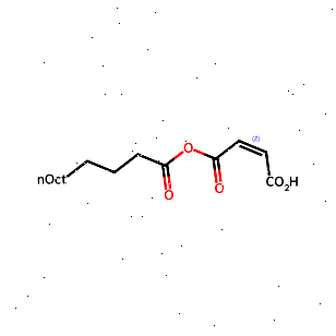 CCCCCCCCCCCC(=O)OC(=O)/C=C\C(=O)O